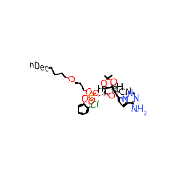 CCCCCCCCCCCCCCOCCCOP(=O)(OC[C@H]1O[C@@](C#N)(c2ccc3c(N)ncnn23)[C@@H]2OC(C)(C)O[C@@H]21)Oc1ccccc1Cl